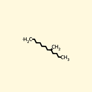 [CH2]CCCCCCC(=C)CCCC